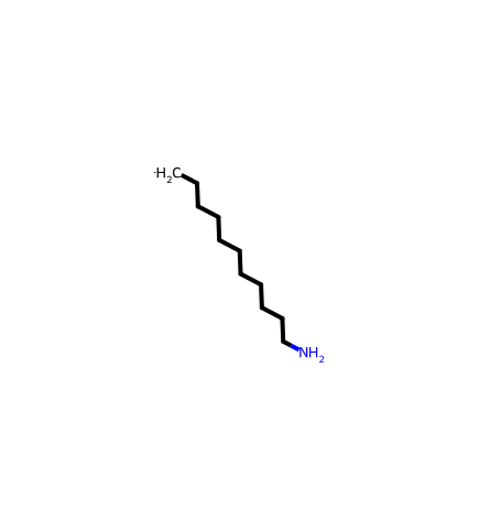 [CH2]CCCCCCCCCCN